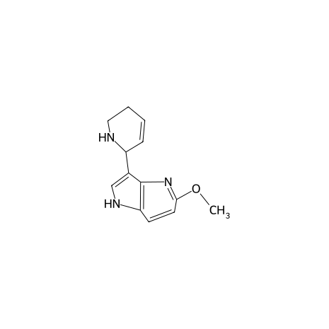 COc1ccc2[nH]cc(C3C=CCCN3)c2n1